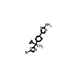 CC(c1ccc(-c2cnc(N)nc2)cc1)(c1ncc(Br)s1)C1CC1